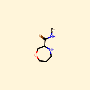 CCNC(=S)[C@@H]1COCCCN1